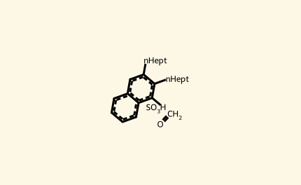 C=O.CCCCCCCc1cc2ccccc2c(S(=O)(=O)O)c1CCCCCCC